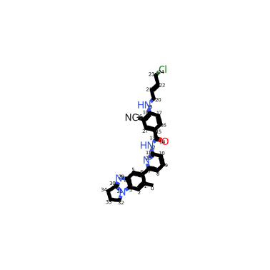 Cc1cc2c(cc1-c1cccc(NC(=O)c3ccc(NC/C=C/CCl)c(C#N)c3)n1)nc1n2CCC1